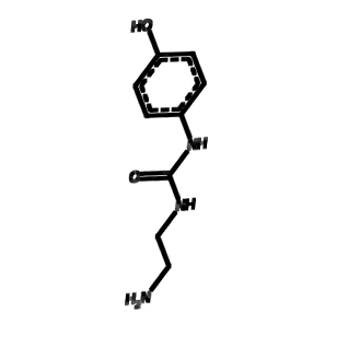 NCCNC(=O)Nc1ccc(O)cc1